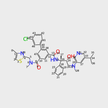 Cc1csc(CN(C)C(=O)c2cc(C(=O)N[C@@](C)(c3ccccc3)[C@H](O)CN(C)c3cncc(C(C)C)c3)cc(-c3cccc(Cl)c3)c2)n1